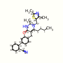 CCCCC1=C(Cc2ccc(-c3ccccc3C#N)cc2)C(=O)NC(C)N1Cc1sc(C)nc1C